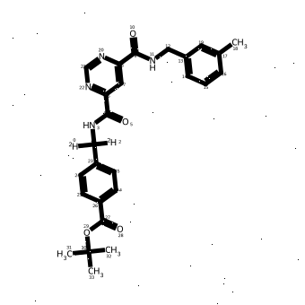 [2H]C([2H])(NC(=O)c1cc(C(=O)NCc2cccc(C)c2)ncn1)c1ccc(C(=O)OC(C)(C)C)cc1